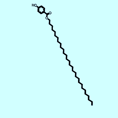 CCCCCCCCCCCCCCCCCCCCCCCCCCCCCCOC(=O)c1ccc(O)cc1